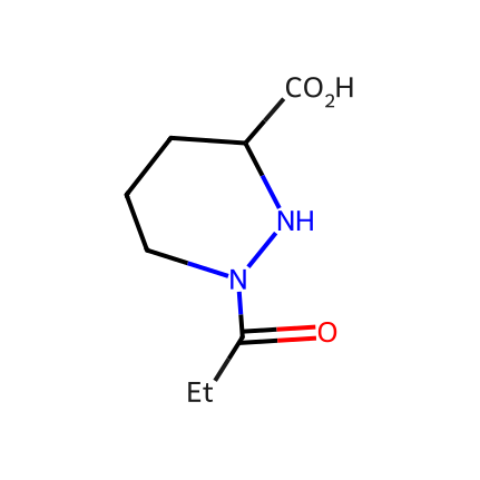 CCC(=O)N1CCCC(C(=O)O)N1